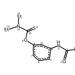 CCC(=O)Nc1cccc(OC(=S)N(CC)CC)c1